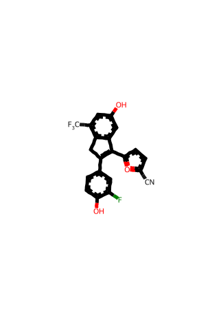 N#Cc1ccc(C2=C(c3ccc(O)c(F)c3)Cc3c2cc(O)cc3C(F)(F)F)o1